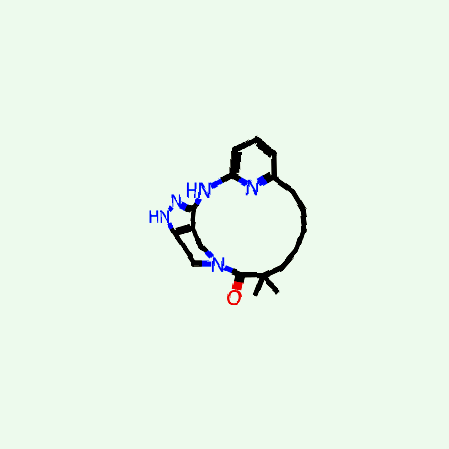 CC1(C)CCCCCc2cccc(n2)Nc2n[nH]c3c2CN(C3)C1=O